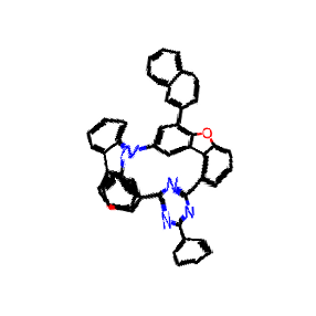 c1ccc(-c2nc(-c3ccccc3)nc(-c3cccc4oc5c(-c6ccc7ccccc7c6)cc(-n6c7ccccc7c7ccccc76)cc5c34)n2)cc1